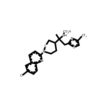 CC(Cc1nc(C(F)(F)F)cs1)(NC(=O)O)C1CCN(c2ccc3cc(Cl)ccc3n2)CC1